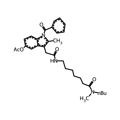 CCCCN(C)C(=O)CCCCCCNC(=O)Cc1c(C)n(C(=O)c2ccccc2)c2ccc(OC(C)=O)cc12